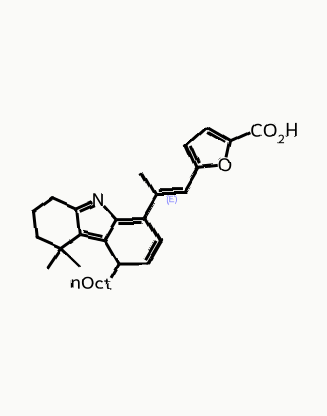 CCCCCCCCC1C=CC(/C(C)=C/c2ccc(C(=O)O)o2)=C2N=C3CCCC(C)(C)C3=C21